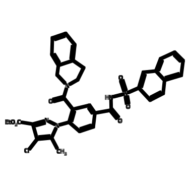 CCOC(=O)c1nn(-c2ccc(C(=O)NS(=O)(=O)c3ccc4ccccc4c3)cc2C(=O)N2CCc3ccccc3C2)c(C)c1Cl